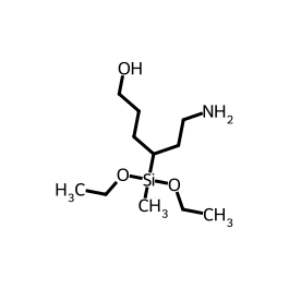 CCO[Si](C)(OCC)C(CCN)CCCO